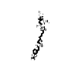 Cc1nc(CC(=O)Nc2nnc(CCCCc3ccc(NC(=O)Cc4cccc(OC(F)(F)F)c4)nn3)s2)c(C)s1